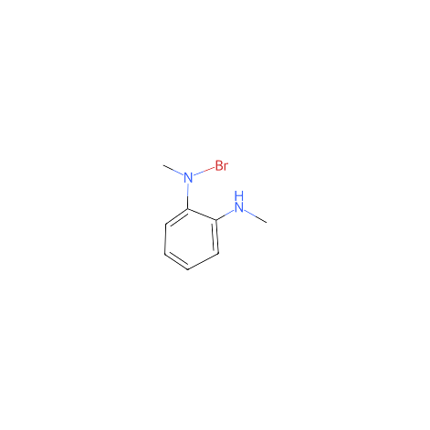 CNc1ccccc1N(C)Br